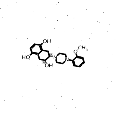 COc1ccccc1N1CCN([C@H]2Cc3c(O)ccc(O)c3C[C@@H]2O)CC1